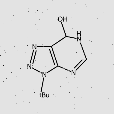 CC(C)(C)n1nnc2c1N=CNC2O